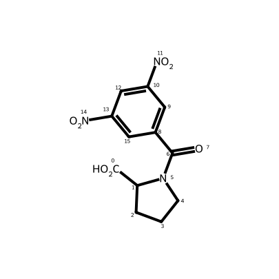 O=C(O)C1CCCN1C(=O)c1cc([N+](=O)[O-])cc([N+](=O)[O-])c1